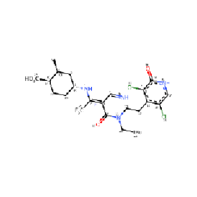 C[C@H]1C[C@H](N/C(=C(\C=N)C(=O)N(CCc2c(Cl)c[nH]c(=O)c2Cl)CC(C)(C)C)C(F)(F)F)CC[C@H]1C(=O)O